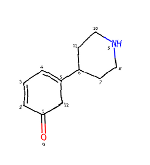 O=C1[C]=CC=C(C2CCNCC2)C1